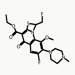 CCOC(=O)c1c2n(c3c(OC)c(N4CCN(C)CC4)c(F)cc3c1=O)C(CF)S2